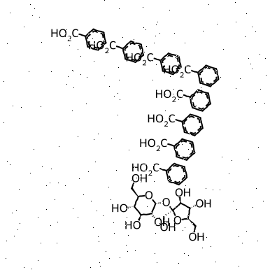 O=C(O)c1ccccc1.O=C(O)c1ccccc1.O=C(O)c1ccccc1.O=C(O)c1ccccc1.O=C(O)c1ccccc1.O=C(O)c1ccccc1.O=C(O)c1ccccc1.O=C(O)c1ccccc1.OC[C@H]1O[C@@](CO)(O[C@H]2O[C@H](CO)[C@@H](O)[C@H](O)[C@H]2O)[C@@H](O)[C@@H]1O